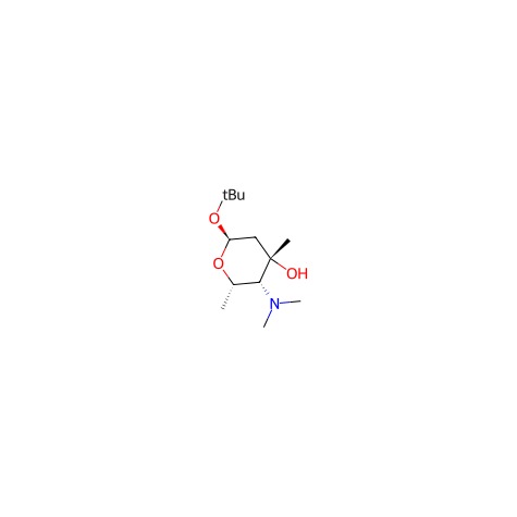 C[C@@H]1O[C@@H](OC(C)(C)C)C[C@](C)(O)[C@@H]1N(C)C